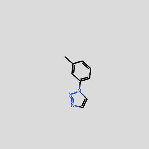 Cc1cccc(-n2ccnn2)c1